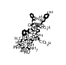 CC[C@H](C)[C@H](NC(=O)[C@H](CC(C)C)NC(=O)[C@H](C)NC(=O)[C@H](CS)NC(=O)[C@H](CC(C)C)NC(=O)[C@H](CCC(=O)O)NC(=O)[C@@H]1CCCN1C(=O)[C@H](Cc1c[nH]c2ccccc12)NC(=O)[C@H](Cc1c[nH]c2ccccc12)NC(=O)[C@H](CC(=O)O)NC(=O)[C@@H](N)Cc1ccc(O)cc1)C(=O)N[C@@H](CS)C(N)=O